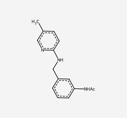 CC(=O)Nc1cccc(CNc2ccc(C)cn2)c1